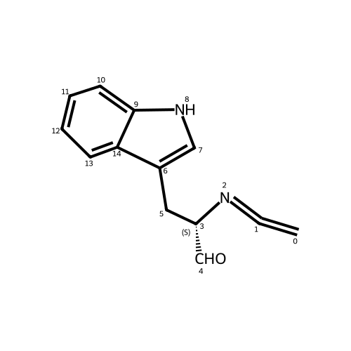 C=C=N[C@H](C=O)Cc1c[nH]c2ccccc12